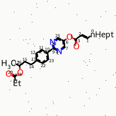 CCCCCCC/C=C/C(=O)Oc1cnc(-c2ccc(CCC(C)OC(=O)CC)cc2)nc1